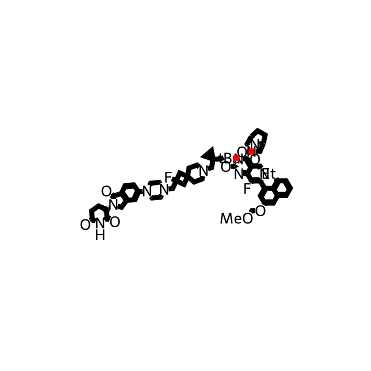 CCc1cccc2cc(OCOC)cc(-c3ncc4c(N5CC6CCC(C5)N6C(=O)OC(C)(C)C)nc(OCC5(CN6CCC7(CC6)CC(F)(CN6CCN(c8ccc9c(c8)CN([C@H]8CCC(=O)NC8=O)C9=O)CC6)C7)CC5)nc4c3F)c12